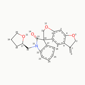 C=C1COc2cc3c(cc21)C1(CO3)C(=O)N(C[C@H]2CCCO2)c2ccccc21